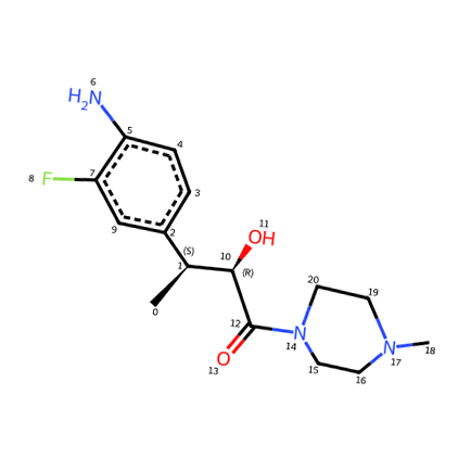 C[C@@H](c1ccc(N)c(F)c1)[C@@H](O)C(=O)N1CCN(C)CC1